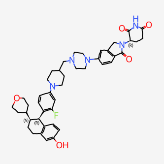 O=C1CC[C@@H](N2Cc3cc(N4CCN(CC5CCN(c6ccc([C@H]7c8ccc(O)cc8CC[C@H]7C7CCOCC7)c(F)c6)CC5)CC4)ccc3C2=O)C(=O)N1